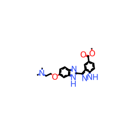 COC(=O)c1ccc2[nH]nc(-c3nc4ccc(OCCN(C)C)cc4[nH]3)c2c1